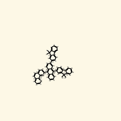 CC1(C)c2ccccc2-c2ccc(-c3ccc4c(-c5ccc6ccc7cccnc7c6n5)c5ccccc5c(-c5ccc6c(c5)C(C)(C)c5ccccc5-6)c4c3)cc21